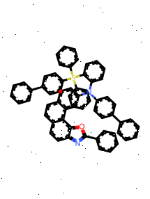 c1ccc(-c2ccc(N(c3ccc4ccc5ccc6nc(-c7ccccc7)oc6c5c4c3)c3ccccc3S(c3ccccc3)(c3ccccc3)c3ccc(-c4ccccc4)cc3)cc2)cc1